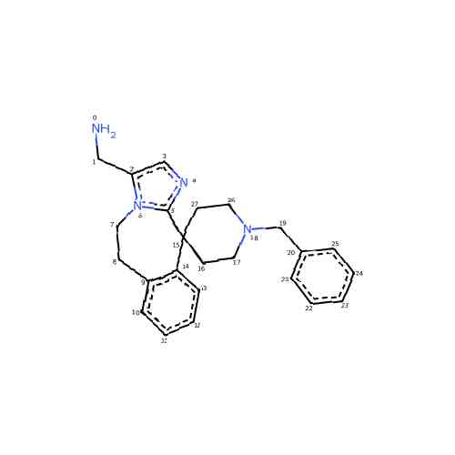 NCc1cnc2n1CCc1ccccc1C21CCN(Cc2ccccc2)CC1